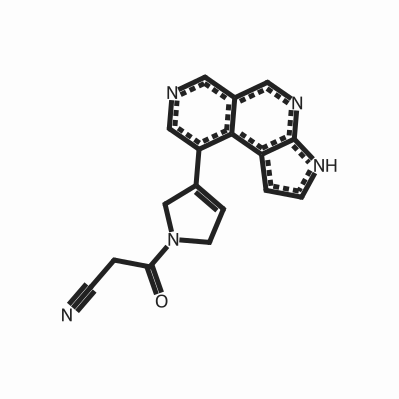 N#CCC(=O)N1CC=C(c2cncc3cnc4[nH]ccc4c23)C1